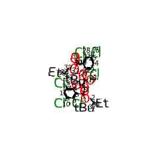 CCC(COC(=O)c1c(Cl)c(Cl)cc(Cl)c1OC(=O)C(=O)Oc1c(Cl)cc(Cl)c(Cl)c1C(=O)OCC(CC)C(C)(C)C)C(C)(C)C